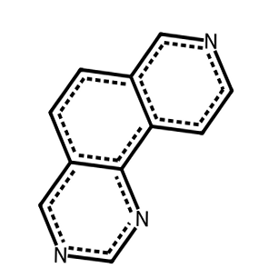 c1cc2c(ccc3cncnc32)cn1